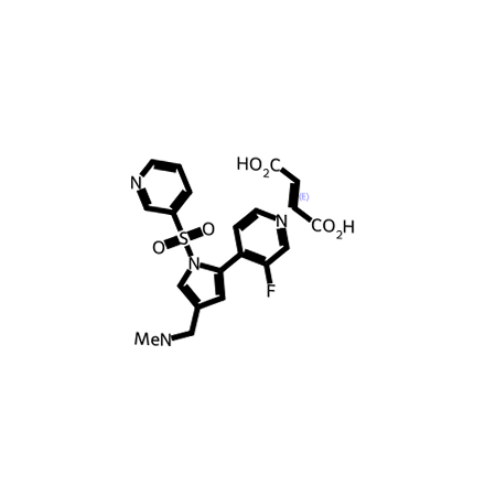 CNCc1cc(-c2ccncc2F)n(S(=O)(=O)c2cccnc2)c1.O=C(O)/C=C/C(=O)O